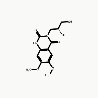 COc1cc2[nH]c(=O)n(C[C@@H](S)CS)c(=O)c2cc1OC